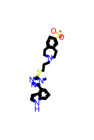 Cn1c(SCCCN2CCc3ccc(S(C)(=O)=O)cc3CC2)nnc1-c1cccc2[nH]ccc12